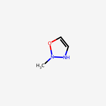 CN1NC=CO1